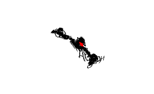 O=C(OC1CCN(CCCn2nnc3cc(CNC[C@H](O)c4ccc(O)c5[nH]c(=O)ccc45)c4c(c32)N2CCN4C2)CC1)C(O)(c1cccs1)c1cccs1